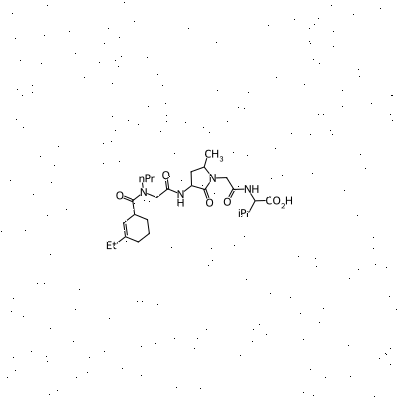 CCCN(CC(=O)NC1CC(C)N(CC(=O)NC(C(=O)O)C(C)C)C1=O)C(=O)C1C=C(CC)CCC1